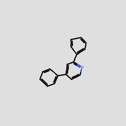 [c]1cccc(-c2ccnc(-c3ccccc3)c2)c1